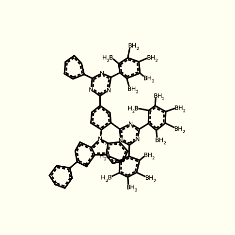 Bc1c(B)c(B)c(-c2nc(-c3ccccc3)nc(-c3ccc(-n4c5ccccc5c5cc(-c6ccccc6)ccc54)c(-c4nc(-c5c(B)c(B)c(B)c(B)c5B)nc(-c5c(B)c(B)c(B)c(B)c5B)n4)c3)n2)c(B)c1B